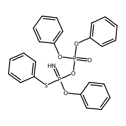 N=P(Oc1ccccc1)(OP(=O)(Oc1ccccc1)Oc1ccccc1)Sc1ccccc1